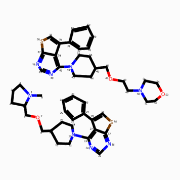 CN1CCCC1COCC1CCN(c2ncnc3scc(-c4ccccc4)c23)CC1.c1ccc(-c2csc3ncnc(N4CCC(COCCN5CCOCC5)CC4)c23)cc1